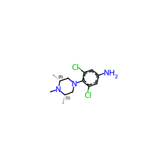 C[C@@H]1CN(c2c(Cl)cc(N)cc2Cl)C[C@H](C)N1C